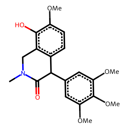 COc1ccc2c(c1O)CN(C)C(=O)C2c1cc(OC)c(OC)c(OC)c1